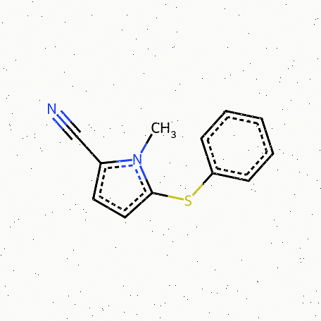 Cn1c(C#N)ccc1Sc1ccccc1